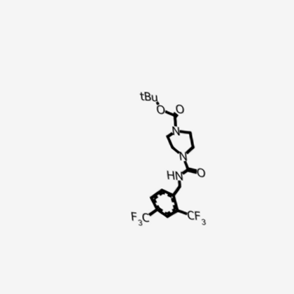 CC(C)(C)OC(=O)N1CCN(C(=O)NCc2ccc(C(F)(F)F)cc2C(F)(F)F)CC1